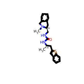 C[C@@H](Cc1cc2ccccc2s1)NC(=O)NC[C@@H]1Cc2ccccc2CN1C